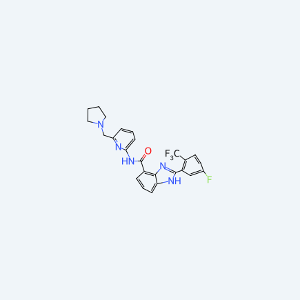 O=C(Nc1cccc(CN2CCCC2)n1)c1cccc2[nH]c(-c3cc(F)ccc3C(F)(F)F)nc12